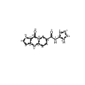 O=C(Nc1nnn[nH]1)c1ccc2nc3ccsc3c(=O)n2c1